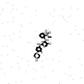 CCN(c1ccccc1Nc1nc(Nc2ccc(N3CCNCC3)c(F)c2)ncc1Cl)[SH](=O)=O